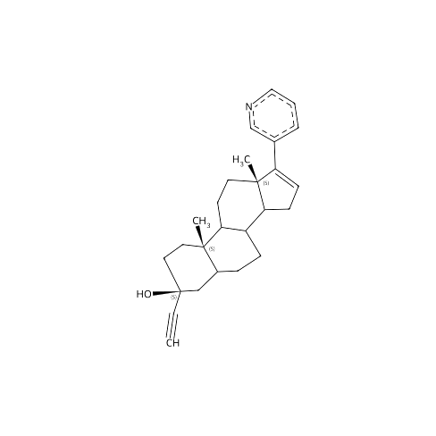 C#C[C@]1(O)CC[C@@]2(C)C(CCC3C2CC[C@]2(C)C(c4cccnc4)=CCC32)C1